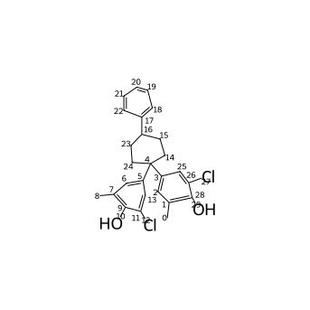 Cc1cc(C2(c3cc(C)c(O)c(Cl)c3)CCC(c3ccccc3)CC2)cc(Cl)c1O